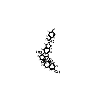 Cc1ccc(S(=O)(=O)N2Cc3ccc([C@]4(O)CC[C@H]5[C@@H]6CCc7cc(O)ccc7[C@H]6CC[C@@]54C)cc3C2)cc1